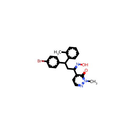 Cc1ccccc1C(C/C(=N/O)c1ccnn(C)c1=O)c1ccc(Br)cc1